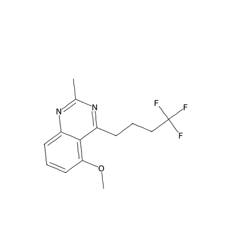 COc1cccc2nc(C)nc(CCCC(F)(F)F)c12